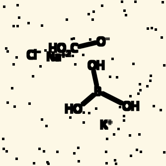 O=C([O-])O.OB(O)O.[Cl-].[K+].[Na+]